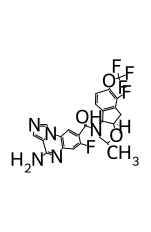 C[C@@H]1CN(C(=O)c2cc3c(cc2F)nc(N)c2cncn23)[C@H]2c3ccc(OC(F)(F)F)c(F)c3C[C@H]2O1